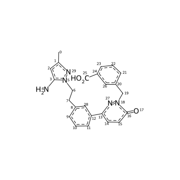 Cc1cc(N)n(CCc2cccc(-c3ccc(=O)n(Cc4cccc(C(=O)O)c4)n3)c2)n1